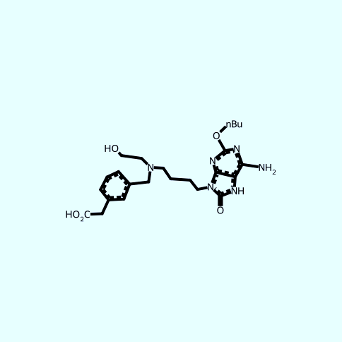 CCCCOc1nc(N)c2[nH]c(=O)n(CCCCN(CCO)Cc3cccc(CC(=O)O)c3)c2n1